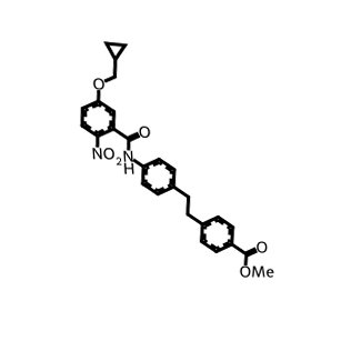 COC(=O)c1ccc(CCc2ccc(NC(=O)c3cc(OCC4CC4)ccc3[N+](=O)[O-])cc2)cc1